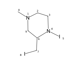 CN1CCN(I)C(CI)C1